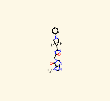 Cn1cnc2ncn(Cc3nc(C4[C@H]5CN(c6ccccc6)C[C@@H]45)no3)c(=O)c21